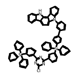 Clc1nc(-c2cccc([Si](c3ccccc3)(c3ccccc3)c3ccccc3)c2)nc(-c2cccc([Si](c3ccccc3)(c3ccccc3)c3ccc(-c4cccc(-n5c6ccccc6c6c7[nH]c8ccccc8c7ccc65)c4)cc3)c2)n1